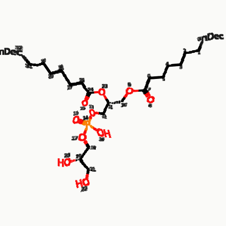 CCCCCCCCCCCCCCCCC(=O)OC[C@H](COP(=O)(O)OC[C@@H](O)CO)OC(=O)CCCCCCCCCCCCCCCC